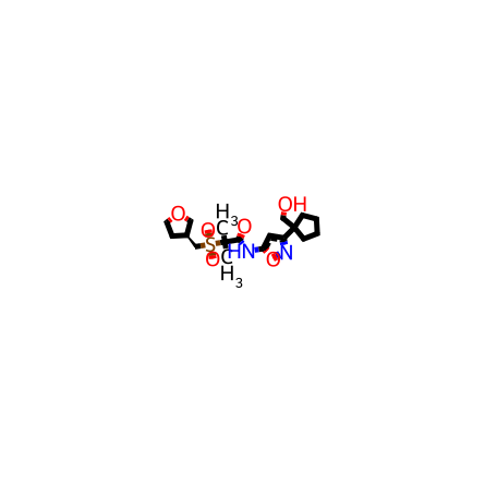 CC(C)(C(=O)Nc1cc(C2(CO)CCCC2)no1)S(=O)(=O)C[C@H]1CCOC1